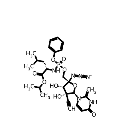 C#C[C@]1(O)[C@H](N2C=CC(=O)NC2=C)O[C@@](COP(=O)(N[C@@H](CC(C)C)C(=O)OC(C)C)Oc2ccccc2)(N=[N+]=[N-])[C@H]1O